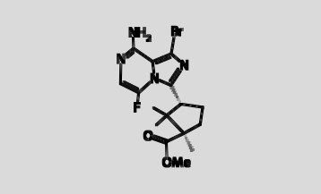 COC(=O)[C@]1(C)CC[C@@H](c2nc(Br)c3c(N)ncc(F)n23)C1(C)C